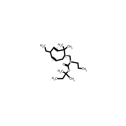 CCCN(C[C@H]1C/C=C\C(CC)/C=C/C1(C)C)C(=O)OC(C)(C)CC